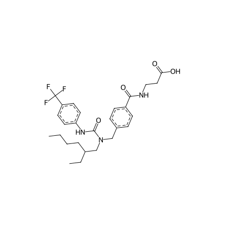 CCCCC(CC)CN(Cc1ccc(C(=O)NCCC(=O)O)cc1)C(=O)Nc1ccc(C(F)(F)F)cc1